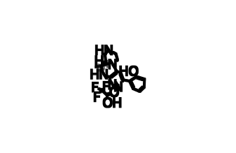 C[C@@H]1Nc2nnc(-c3ccccc3O)cc2N2CCNC[C@@H]12.O=C(O)C(F)(F)F